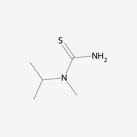 CC(C)N(C)C(N)=S